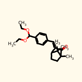 CCOC(OCC)c1ccc(C=C2C(=O)C3(C)CCC2C3(C)C)cc1